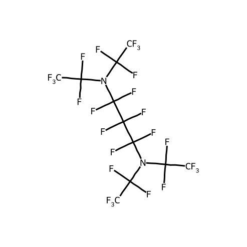 FC(F)(F)C(F)(F)N(C(F)(F)C(F)(F)F)C(F)(F)C(F)(F)C(F)(F)N(C(F)(F)C(F)(F)F)C(F)(F)C(F)(F)F